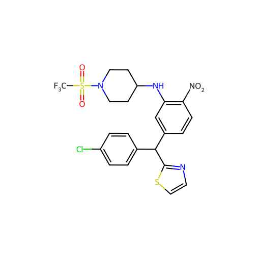 O=[N+]([O-])c1ccc(C(c2ccc(Cl)cc2)c2nccs2)cc1NC1CCN(S(=O)(=O)C(F)(F)F)CC1